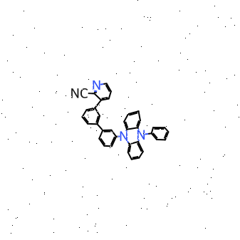 N#Cc1ncccc1-c1cccc(-c2cccc(N3c4ccccc4N(c4ccccc4)c4ccccc43)c2)c1